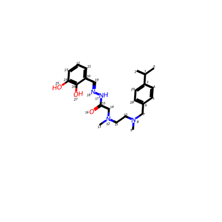 CC(C)c1ccc(CN(C)CCN(C)CC(=O)NN=Cc2cccc(O)c2O)cc1